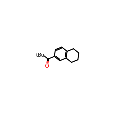 CC(C)(C)C(=O)c1ccc2c(c1)CCCC2